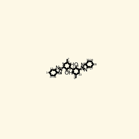 Cc1cc(-c2cc(C)cc(-n3nc4ccccc4n3)c2O)c(O)c(-n2nc3ccccc3n2)c1